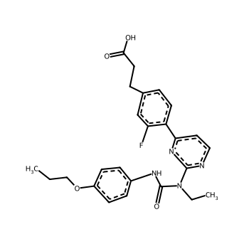 CCCOc1ccc(NC(=O)N(CC)c2nccc(-c3ccc(CCC(=O)O)cc3F)n2)cc1